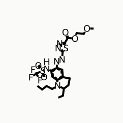 CCCCN1c2cc(NS(=O)(=O)C(F)(F)F)c(N=Nc3nnc(C(=O)OCCOC)s3)cc2CCC1CC